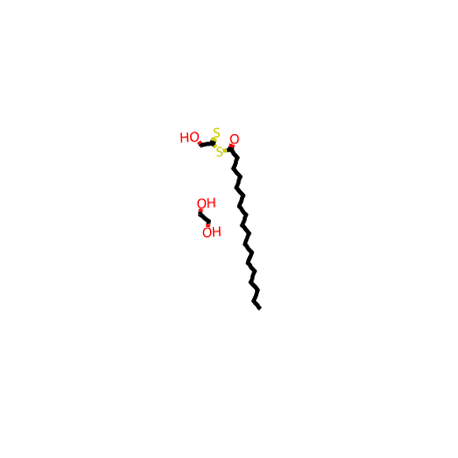 CCCCCCCCCCCCCCCCCC(=O)SC(=S)CO.OCCO